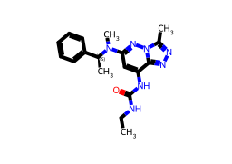 CCNC(=O)Nc1cc(N(C)[C@@H](C)c2ccccc2)nn2c(C)nnc12